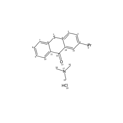 CC(C)c1ccc2sc3ccccc3c(=O)c2c1.CN(C)C.Cl